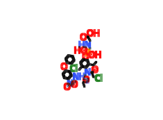 CCOCN(C(=O)CCl)c1c(C)cccc1CC.Nc1c([N+](=O)[O-])ccc(Oc2ccccc2)c1Cl.O=C(O)CNCP(=O)(O)O